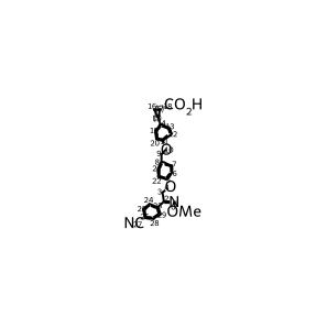 CON=C(COc1ccc(COc2ccc([C@H]3C[C@@H]3C(=O)O)cc2)cc1)c1ccc(C#N)cc1